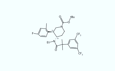 CCN(C(=O)C(C)(C)c1cc(C(F)(F)F)cc(C(F)(F)F)c1)[C@H]1CCN(C(=O)OC(C)(C)C)C[C@@H]1c1ccc(F)cc1C